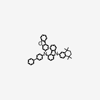 CC1(C)CCC(C)(C)c2cc(-n3c4ccccc4c4c(N(c5ccc(-c6ccccc6)cc5)c5ccc6c(c5)oc5ccccc56)cccc43)ccc21